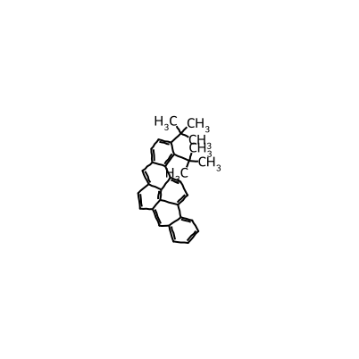 CC(C)(C)c1ccc2cc3ccc4cc5ccccc5c5ccc(c2c1C(C)(C)C)c3c45